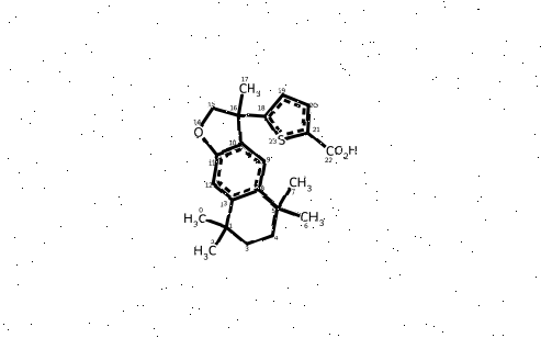 CC1(C)CCC(C)(C)c2cc3c(cc21)OCC3(C)c1ccc(C(=O)O)s1